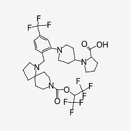 O=C(O)C1CCCN1C1CCN(c2cc(C(F)(F)F)ccc2CN2CCCC23CCN(C(=O)OC(C(F)(F)F)C(F)(F)F)CC3)CC1